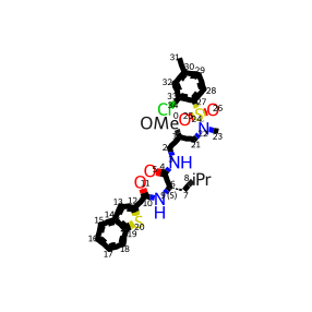 COC(CNC(=O)[C@H](CC(C)C)NC(=O)c1cc2ccccc2s1)CN(C)S(=O)(=O)c1ccc(C)cc1Cl